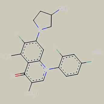 Cc1c(F)c(N2CCC(N)C2)cc2c1c(=O)c(C(=O)O)cn2-c1ccc(F)cc1F.Cl